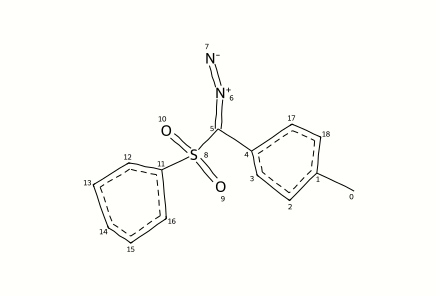 Cc1ccc(C(=[N+]=[N-])S(=O)(=O)c2ccccc2)cc1